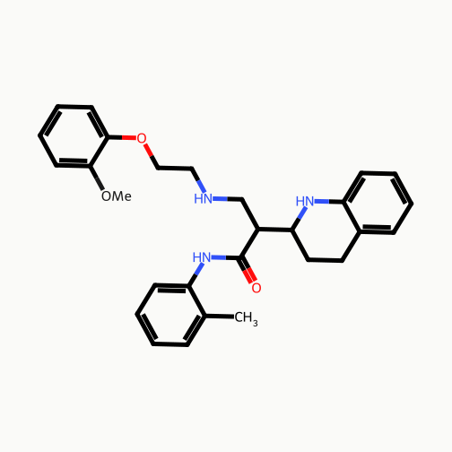 COc1ccccc1OCCNCC(C(=O)Nc1ccccc1C)C1CCc2ccccc2N1